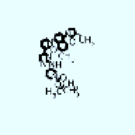 CC[C@H]1CCN(c2cccc3c(Oc4ncccc4-c4ccnc(N[C@H]5CCCN(C(=O)OC(C)(C)C)C5)n4)c(C)ccc23)C1=O